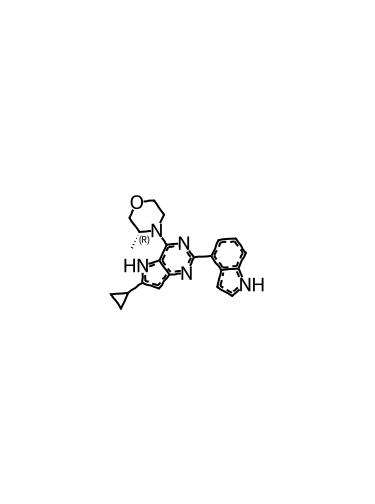 C[C@@H]1COCCN1c1nc(-c2cccc3[nH]ccc23)nc2cc(C3CC3)[nH]c12